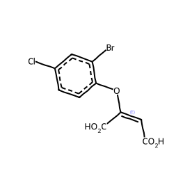 O=C(O)/C=C(/Oc1ccc(Cl)cc1Br)C(=O)O